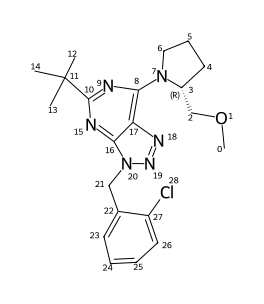 COC[C@H]1CCCN1c1nc(C(C)(C)C)nc2c1nnn2Cc1ccccc1Cl